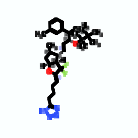 Cc1cccc([C@@H](C)[C@@H](/C=C/[C@@H]2[C@@H]3[C@H](C[C@H]2C)O/C(=C\CCCc2nnn[nH]2)C3(F)F)O[Si](C)(C)C(C)(C)C)c1